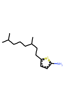 CC(C)CCCC(C)CCc1ccc(N)s1